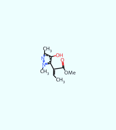 CC=C(C(=O)OC)c1c(O)c(C)nn1C